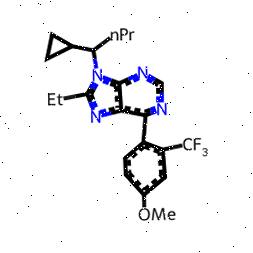 CCCC(C1CC1)n1c(CC)nc2c(-c3ccc(OC)cc3C(F)(F)F)ncnc21